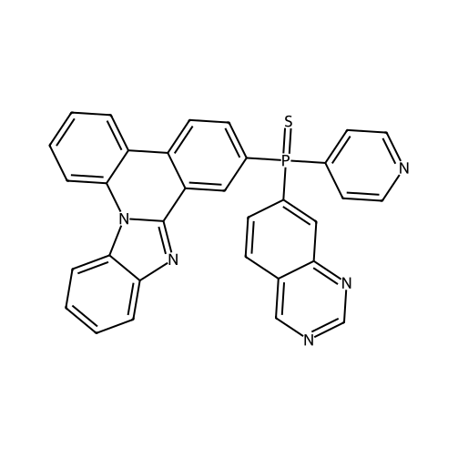 S=P(c1ccncc1)(c1ccc2cncnc2c1)c1ccc2c3ccccc3n3c4ccccc4nc3c2c1